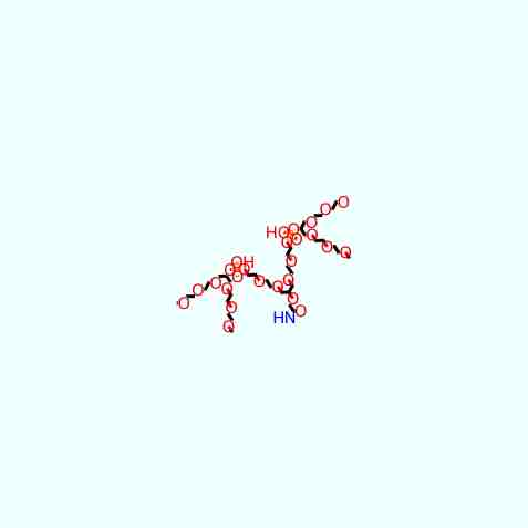 CNC(=O)COC(COCCOCCOP(=O)(O)OC(COCCOCCOC)COCCOCCOC)COCCOCCOP(=O)(O)OC(COCCOCCOC)COCCOCCOC